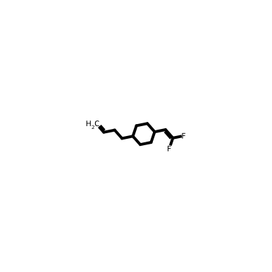 C=CCC[C]1CCC(C=C(F)F)CC1